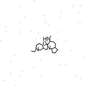 CCN1CCCC(CN2C(=O)C(NC)CCC3CCCC32)C1